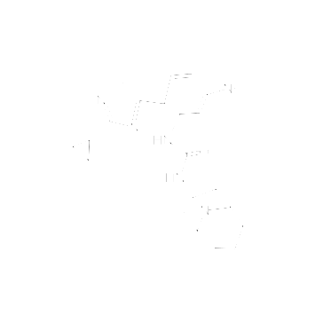 CN1C2CCCC1CC(NC(=O)Nc1cc([N+](=O)[O-])ccc1-c1nc(C3CC3)no1)C2